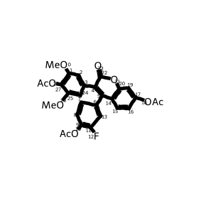 COc1cc(-c2c(-c3ccc(OC(C)=O)c(F)c3)c3ccc(OC(C)=O)cc3oc2=O)cc(OC)c1OC(C)=O